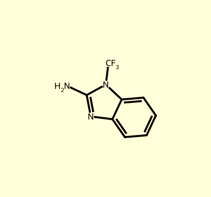 Nc1nc2ccccc2n1C(F)(F)F